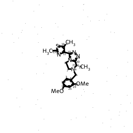 COc1ccc(CN2CCn3c(-c4nc(C)sc4C)nnc3[C@@H]2C)c(OC)c1